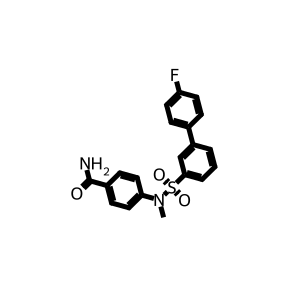 CN(c1ccc(C(N)=O)cc1)S(=O)(=O)c1cccc(-c2ccc(F)cc2)c1